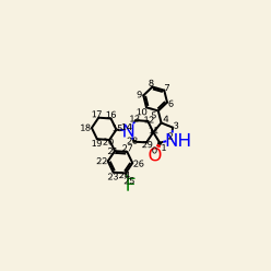 O=C1NCC(c2ccccc2)C12CCN(C1CCCCC1c1ccc(F)cc1)CC2